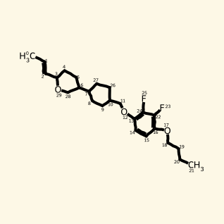 C/C=C/C1CCC(C2CCC(COc3ccc(OCCCC)c(F)c3F)CC2)CO1